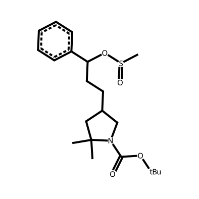 CS(=O)OC(CCC1CN(C(=O)OC(C)(C)C)C(C)(C)C1)c1ccccc1